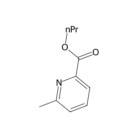 CCCOC(=O)c1cccc(C)n1